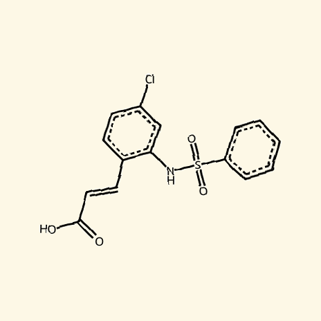 O=C(O)C=Cc1ccc(Cl)cc1NS(=O)(=O)c1ccccc1